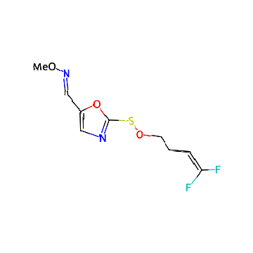 CON=Cc1cnc(SOCCC=C(F)F)o1